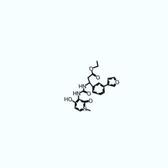 CCOC(=O)CC(NC(=O)Nc1c(O)ccn(C)c1=O)c1cccc(-c2ccoc2)c1